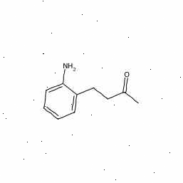 CC(=O)CCc1ccccc1N